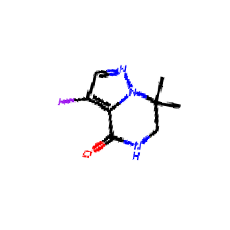 CC1(C)CNC(=O)c2c(I)cnn21